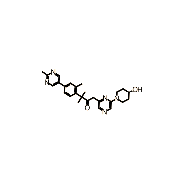 Cc1ncc(-c2ccc(C(C)(C)C(=O)Cc3cncc(N4CCC(O)CC4)n3)c(C)c2)cn1